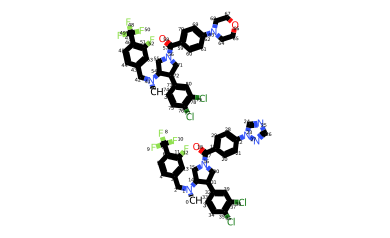 CN(Cc1ccc(C(F)(F)F)c(F)c1)C1CN(C(=O)c2ccc(-n3cncn3)cc2)CC1c1ccc(Cl)c(Cl)c1.CN(Cc1ccc(C(F)(F)F)c(F)c1)C1CN(C(=O)c2ccc(N3CCOCC3)cc2)CC1c1ccc(Cl)c(Cl)c1